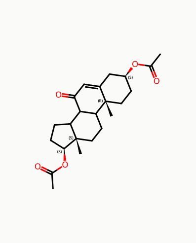 CC(=O)O[C@H]1CC[C@@]2(C)C(=CC(=O)C3C2CC[C@@]2(C)C3CC[C@@H]2OC(C)=O)C1